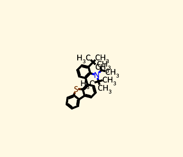 CC(C)N(c1c(-c2cccc3c2sc2ccccc23)cccc1C(C)(C)C)C(C)(C)C